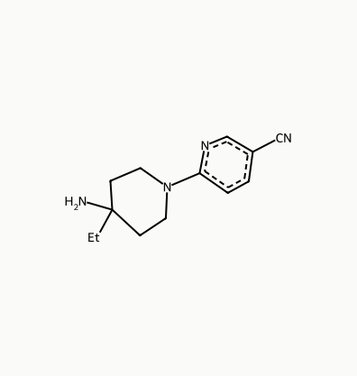 CCC1(N)CCN(c2ccc(C#N)cn2)CC1